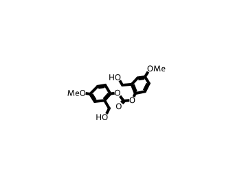 COc1ccc(OC(=O)Oc2ccc(OC)cc2CO)c(CO)c1